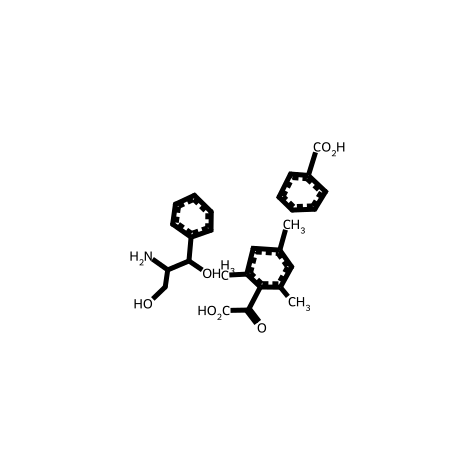 Cc1cc(C)c(C(=O)C(=O)O)c(C)c1.NC(CO)C(O)c1ccccc1.O=C(O)c1ccccc1